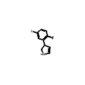 Fc1ccc(F)c(C2C=CNC2)c1